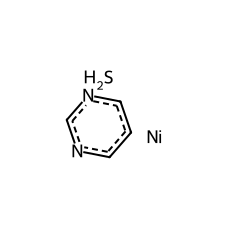 S.[Ni].c1cncnc1